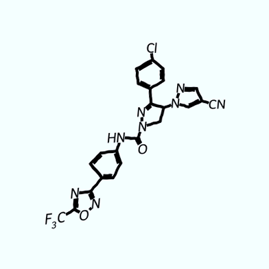 N#Cc1cnn(C2CN(C(=O)Nc3ccc(-c4noc(C(F)(F)F)n4)cc3)N=C2c2ccc(Cl)cc2)c1